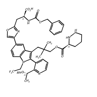 CO[C@@H](C)c1ncccc1-c1c(CC(C)(C)COC(=O)[C@@H]2CCCNN2)c2cc(-c3coc(C[C@H](NC(=O)OCc4ccccc4)C(=O)O)n3)ccc2n1CC(F)(F)F